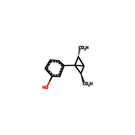 O=C(O)[C@@H]1C2[C@@H](C(=O)O)C21c1cccc(O)c1